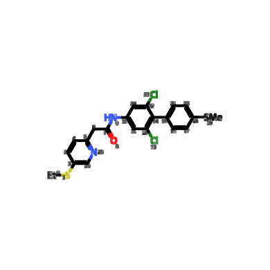 CCSc1ccc(CC(=O)Nc2cc(Cl)c(-c3ccc(SC)cc3)c(Cl)c2)nc1